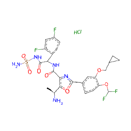 C[C@H](N)c1oc(-c2ccc(OC(F)F)c(OCC3CC3)c2)nc1C(=O)NC(C(=O)NS(N)(=O)=O)c1ccc(F)cc1F.Cl